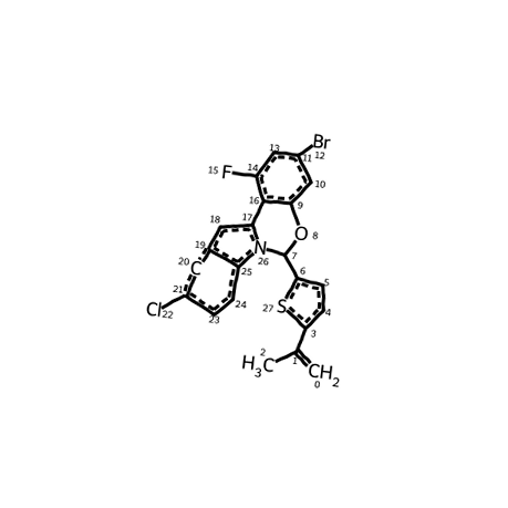 C=C(C)c1ccc(C2Oc3cc(Br)cc(F)c3-c3cc4cc(Cl)ccc4n32)s1